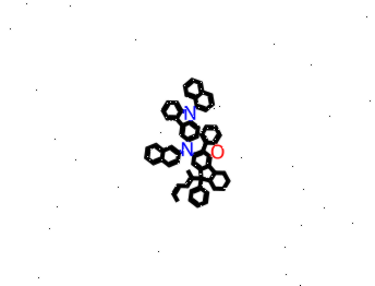 C/C=C\C=C(/C)C1(c2ccccc2)c2cc(N(c3ccc4ccccc4c3)c3ccc4c(c3)c3ccccc3n4-c3cccc4ccccc34)c3c(oc4ccccc43)c2C2CCCCC21